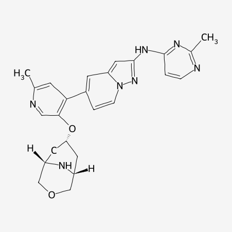 Cc1cc(-c2ccn3nc(Nc4ccnc(C)n4)cc3c2)c(O[C@H]2C[C@H]3COC[C@@H](C2)N3)cn1